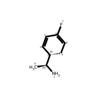 C[C@H](N)[C@@H]1C=CC(F)=CC1